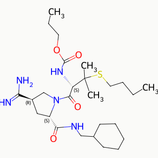 CCCCSC(C)(C)[C@@H](NC(=O)OCCC)C(=O)N1C[C@H](C(=N)N)C[C@H]1C(=O)NCC1CCCCC1